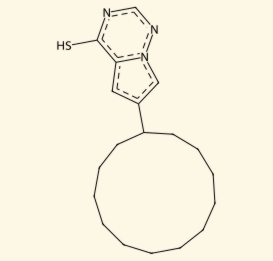 Sc1ncnn2cc(C3CCCCCCCCCCCC3)cc12